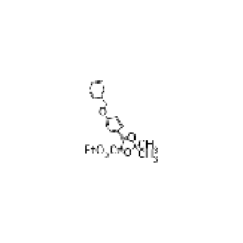 CCOC(=O)[C@H]1OC(C)(C)O[C@@H]1c1ccc(OCc2ccccc2)cc1